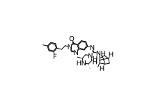 Cc1ccc(CCn2cnc3cc(N=C(N[C@H]4C[C@@H]5C[C@@H]([C@H]4C)C5(C)C)N4C[C@H](C)N[C@@H](C)C4)ccc3c2=O)c(F)c1